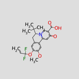 C=CC(F)(F)Oc1cc2c(cc1OC)-c1cc(=O)c(C(=O)O)cn1C(C(C)(C)C)C2